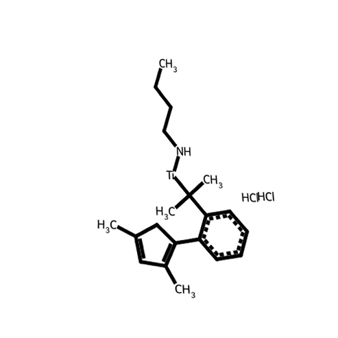 CCCC[NH][Ti][C](C)(C)c1ccccc1C1=C(C)C=C(C)C1.Cl.Cl